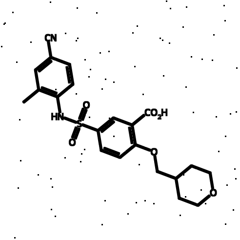 Cc1cc(C#N)ccc1NS(=O)(=O)c1ccc(OCC2CCOCC2)c(C(=O)O)c1